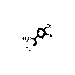 [CH2]C(C=C)c1ccc(CC)c(Br)c1